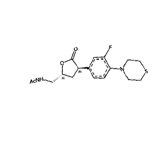 CC(=O)NC[C@H]1C[C@H](c2ccc(N3CCSCC3)c(F)c2)C(=O)O1